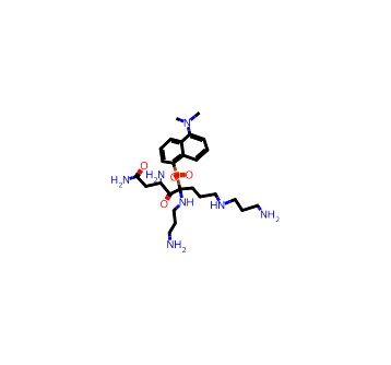 CN(C)c1cccc2c(S(=O)(=O)C(CCCNCCCN)(NCCCN)C(=O)[C@@H](N)CC(N)=O)cccc12